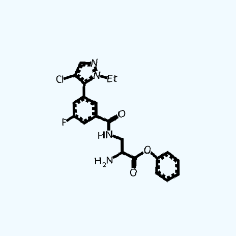 CCn1ncc(Cl)c1-c1cc(F)cc(C(=O)NCC(N)C(=O)Oc2ccccc2)c1